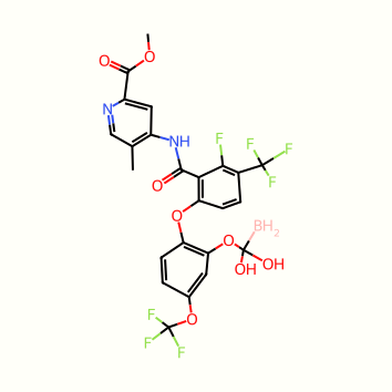 BC(O)(O)Oc1cc(OC(F)(F)F)ccc1Oc1ccc(C(F)(F)F)c(F)c1C(=O)Nc1cc(C(=O)OC)ncc1C